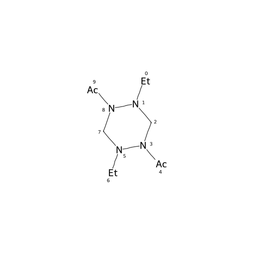 CCN1CN(C(C)=O)N(CC)CN1C(C)=O